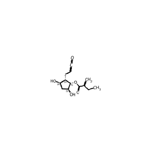 C=C(CC)C(=O)O[C@H]1[C@@H](CC=C=O)[C@H](O)C[C@@H]1O